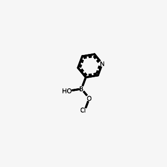 OB(OCl)c1cccnc1